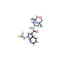 O=C(N[C@H]1C[C@H]2COC[C@@H](C1)N2)c1cn(CC(F)F)c2ncccc12